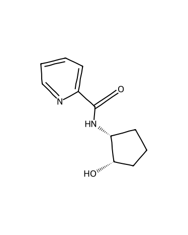 O=C(N[C@@H]1CCC[C@@H]1O)c1ccccn1